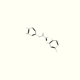 CCC(Cc1ccc(F)c(C(F)(F)F)c1)c1nc2cc(Cl)ccc2o1